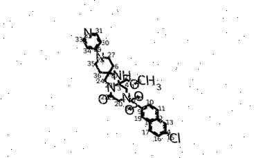 COCC12CN(S(=O)(=O)c3ccc4cc(Cl)ccc4c3)CC(=O)N1CC1(CCN(c3ccncc3)CC1)N2